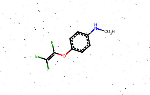 O=C(O)Nc1ccc(OC(F)=C(F)F)cc1